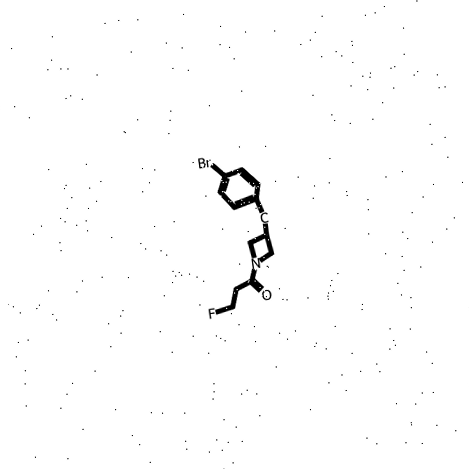 O=C(CCF)N1CC(Cc2ccc(Br)cc2)C1